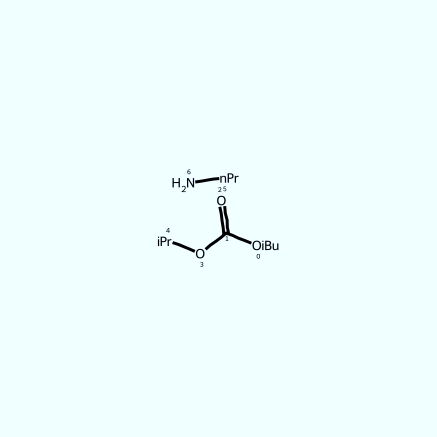 CC(C)COC(=O)OC(C)C.CCCN